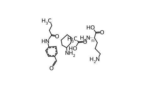 CC(=O)O.CCCC(=O)Nc1ccc(C=O)cc1.NC1CCCCC1.NCCC[C@H](N)C(=O)O